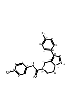 O=C(Nc1ccc(Cl)cc1)N1CCn2ncc(-c3ccc(F)cc3)c2C1